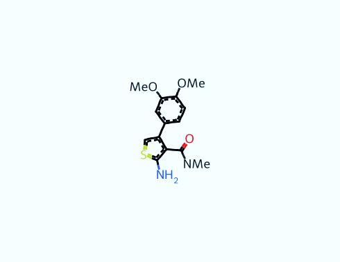 CNC(=O)c1c(-c2ccc(OC)c(OC)c2)csc1N